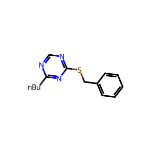 CCCCc1ncnc(SCc2ccccc2)n1